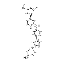 CN(C)c1cc(F)cc(-c2ccnc(NC3=C=C=C(n4cnc(N5CCC(O)CC5)n4)C=C3)n2)c1